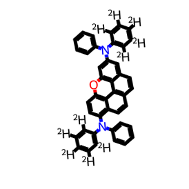 [2H]c1c([2H])c([2H])c(N(c2ccccc2)c2cc3c4c(ccc5ccc6c(N(c7ccccc7)c7c([2H])c([2H])c([2H])c([2H])c7[2H])ccc(c6c54)O3)c2)c([2H])c1[2H]